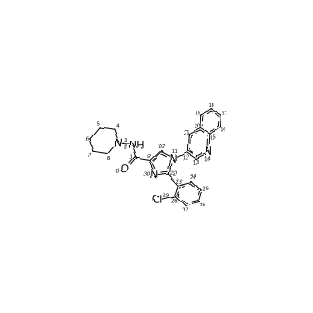 O=C(NN1CCCCC1)c1cn(-c2cnc3ccccc3c2)c(-c2ccccc2Cl)n1